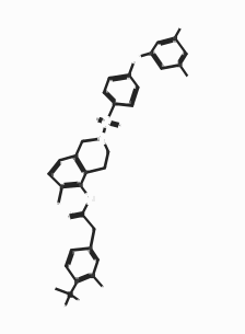 Cc1ccc2c(c1NC(=O)Cc1ccc(C(F)(F)F)c(F)c1)CCN(S(=O)(=O)c1ccc(Oc3cc(Cl)cc(Cl)c3)cc1)C2